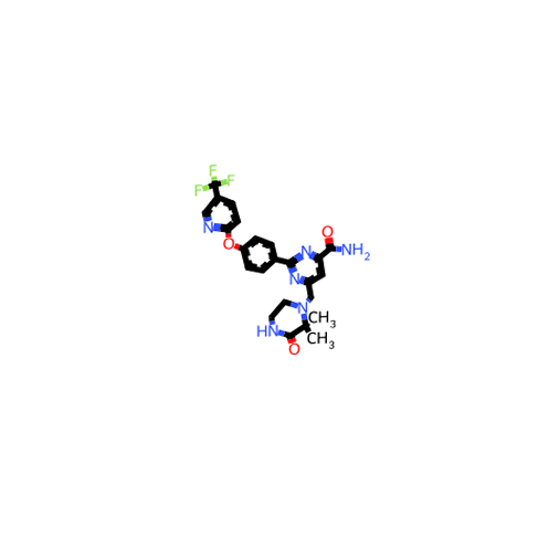 CC1(C)C(=O)NCCN1Cc1cc(C(N)=O)nc(-c2ccc(Oc3ccc(C(F)(F)F)cn3)cc2)n1